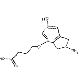 NC1Cc2cc(O)cc(OCCCC(=O)O)c2C1